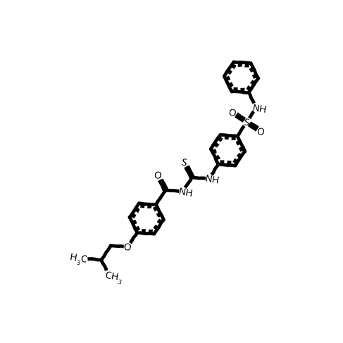 CC(C)COc1ccc(C(=O)NC(=S)Nc2ccc(S(=O)(=O)Nc3ccccc3)cc2)cc1